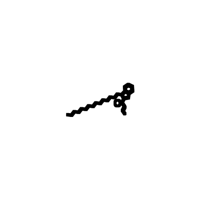 C/C=C/C(=O)C1=Cc2ccccc2C1CCCCCCCCCCCCCCC